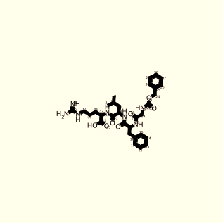 CC(C)CC(NC(=O)C(Cc1ccccc1)NC(=O)CNC(=O)OCc1ccccc1)C(=O)NC(CCCNC(=N)N)C(=O)O